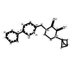 O=C1C(=O)N(C23CC(C2)C3)CCN1Cc1ccc(-c2ccccc2)nn1